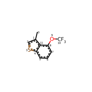 Cc1csc2cccc(OC(F)(F)F)c12